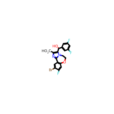 O=C(O)c1nc2n(c1C(O)c1cc(F)cc(F)c1)CCOc1cc(F)c(Br)cc1-2